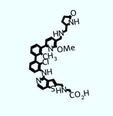 COc1nc(-c2cccc(-c3cccc(Nc4nccc5sc(CNCC(=O)O)cc45)c3Cl)c2C)ccc1CNCC1CCC(=O)N1